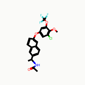 COc1c(Cl)cc(Oc2ccc3cc(C(C)NC(C)=O)ccc3c2)cc1OC(F)(F)F